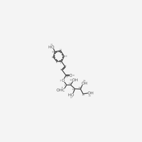 O=CC(OC(=O)/C=C/c1ccc(O)cc1)C(O)C(O)C(O)CO